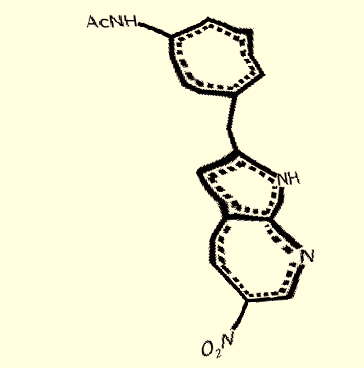 CC(=O)Nc1cccc(-c2cc3cc([N+](=O)[O-])cnc3[nH]2)c1